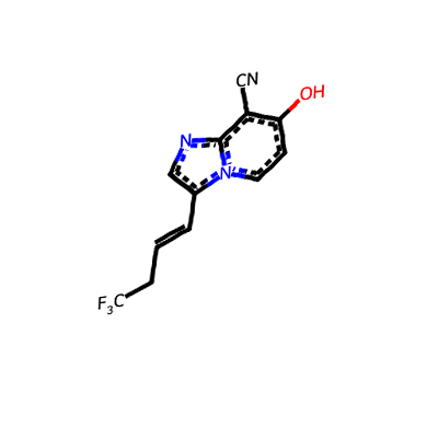 N#Cc1c(O)ccn2c(C=CCC(F)(F)F)cnc12